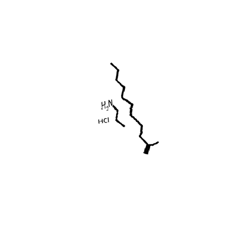 C=C(C)CCCCCCCCC.CCCN.Cl